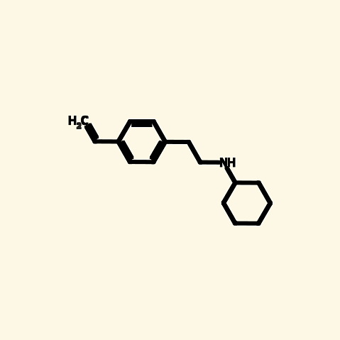 C=Cc1ccc(CCNC2CCCCC2)cc1